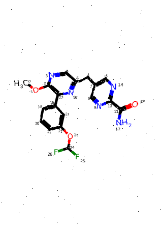 COc1ncc(Cc2cnc(C(N)=O)nc2)nc1-c1cccc(OC(F)F)c1